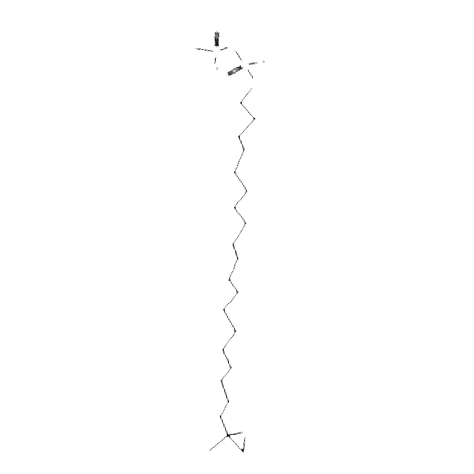 CC1(CCCCCCCCCCCCCCCCCCCOP(=O)(O)OP(=O)(O)O)CO1